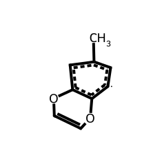 Cc1c[c]c2c(c1)OC=CO2